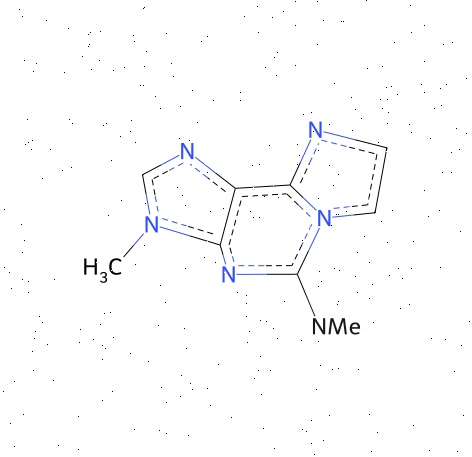 CNc1nc2c(ncn2C)c2nccn12